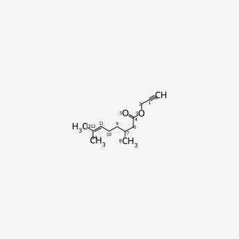 C#CCOC(=O)CC(C)CCC=C(C)C